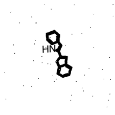 C1=C(c2cc3ccccc3[nH]2)Cc2ccccc21